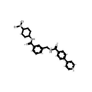 CCN(CC)C1CCC(NC(=O)c2cccc(CNC(=O)c3ccc(-c4ccncc4)cc3)c2)CC1